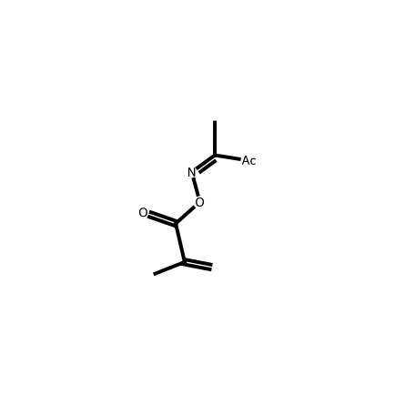 C=C(C)C(=O)O/N=C(/C)C(C)=O